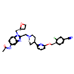 CC(=O)Nc1ccc2c(c1)nc(CN1CCC(c3cccc(OCc4ccc(C#N)cc4F)n3)CC1)n2C[C@@H]1CCO1